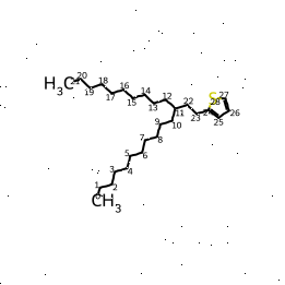 CCCCCCCCCCCC(CCCCCCCCCC)CCc1cccs1